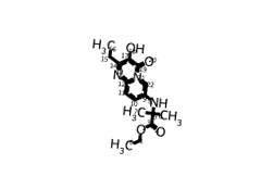 CCOC(=O)C(C)(C)Nc1ccc2nc(CC)c(O)c(=O)n2c1